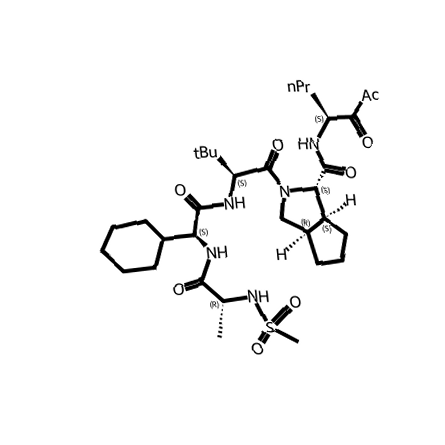 CCC[C@H](NC(=O)[C@@H]1[C@H]2CCC[C@H]2CN1C(=O)[C@@H](NC(=O)[C@@H](NC(=O)[C@@H](C)NS(C)(=O)=O)C1CCCCC1)C(C)(C)C)C(=O)C(C)=O